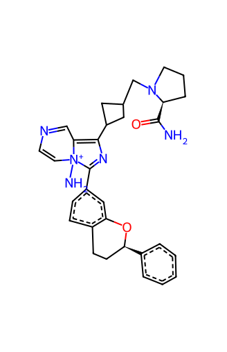 NC(=O)[C@@H]1CCCN1CC1CC(C2=C3C=NC=C[N+]3(N)C(c3ccc4c(c3)O[C@@H](c3ccccc3)CC4)=N2)C1